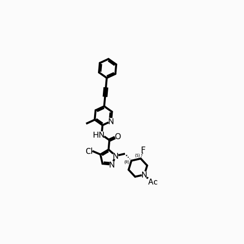 CC(=O)N1CC[C@H](Cn2ncc(Cl)c2C(=O)Nc2ncc(C#Cc3ccccc3)cc2C)[C@H](F)C1